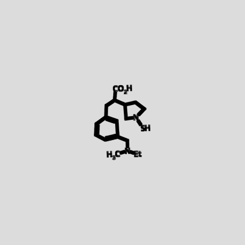 CCN(C)Cc1cccc(CC(C(=O)O)C2CCN(S)C2)c1